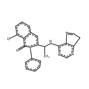 CC(Nc1ncnc2c1N=CC2)c1cc2cccc(Cl)c2c(=O)n1-c1ccccc1